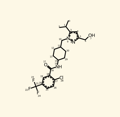 CC(C)c1cc(CO)nn1CC1CCC(NC(=O)c2cc(C(F)(F)F)ccc2Cl)CC1